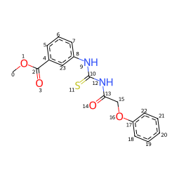 COC(=O)c1cccc(NC(=S)NC(=O)COc2ccccc2)c1